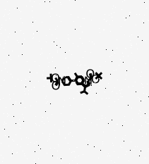 Cc1cc2c(cc1C1=CCN(C(=O)OC(C)(C)C)CC1)c(C(C)C)cn2C(=O)OC(C)(C)C